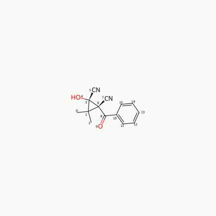 CC1(C)[C@@](O)(C#N)[C@]1(C#N)C(=O)c1ccccc1